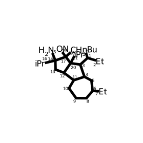 CCCCC(CC)C1C2CC(CC)CCCC2C2CC(N)(C(C)C)C(C)(N=O)C21C(C)C